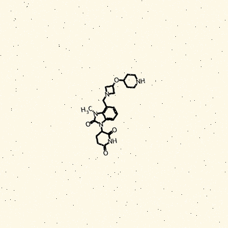 Cn1c(=O)n(C2CCC(=O)NC2=O)c2cccc(CN3CC(OC4CCNCC4)C3)c21